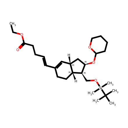 CCOC(=O)CCC=CC1=C[C@@H]2C[C@@H](OC3CCCCO3)[C@@H](CO[Si](C)(C)C(C)(C)C)[C@@H]2CC1